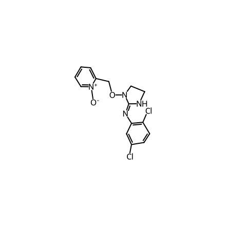 [O-][n+]1ccccc1CON1CCN/C1=N\c1cc(Cl)ccc1Cl